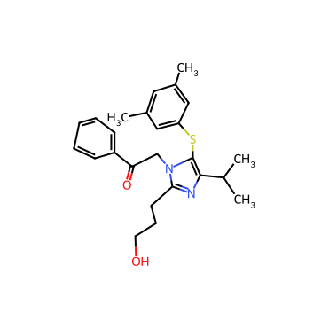 Cc1cc(C)cc(Sc2c(C(C)C)nc(CCCO)n2CC(=O)c2ccccc2)c1